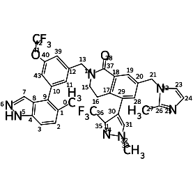 Cc1ccc2[nH]ncc2c1-c1cc(CN2CCc3c(cc(Cn4ccnc4C)cc3-c3cn(C)nc3C(F)(F)F)C2=O)cc(OC(F)(F)F)c1